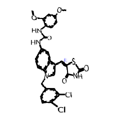 COc1ccc(NC(=O)Nc2ccc3c(c2)c(/C=C2/SC(=O)NC2=O)cn3Cc2ccc(Cl)c(Cl)c2)c(OC)c1